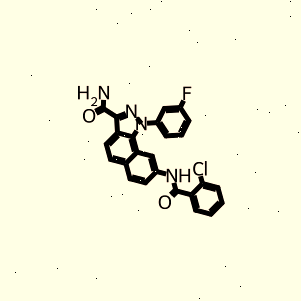 NC(=O)c1nn(-c2cccc(F)c2)c2c1ccc1ccc(NC(=O)c3ccccc3Cl)cc12